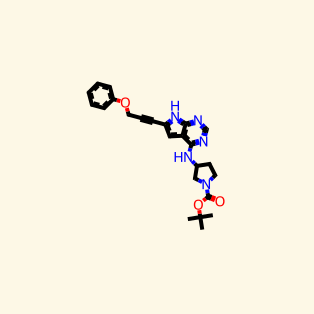 CC(C)(C)OC(=O)N1CCC(Nc2ncnc3[nH]c(C#CCOc4ccccc4)cc23)C1